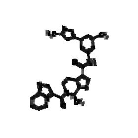 Cc1cn(-c2cc(NC(=O)c3csc4c3CCN(C(=O)c3cnc5ccccn35)[C@@H]4C)cc(C(F)(F)F)c2)cn1